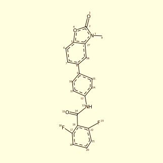 Cn1c(=O)oc2ccc(-c3ccc(NC(=O)c4c(F)cccc4F)cc3)cc21